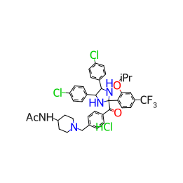 CC(=O)NC1CCN(Cc2ccc(C(=O)C3(c4ccc(C(F)(F)F)cc4OC(C)C)NC(c4ccc(Cl)cc4)C(c4ccc(Cl)cc4)N3)cc2)CC1.Cl